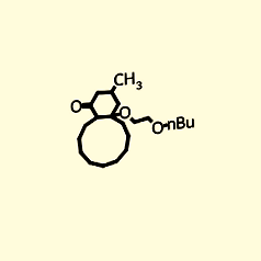 CCCCOCCOC12CCCCCCCCCC1C(=O)CC(C)C2